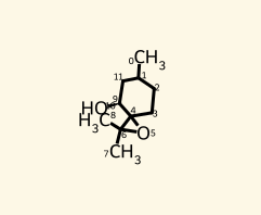 CC1CCC2(OC2(C)C)[C@@H](O)C1